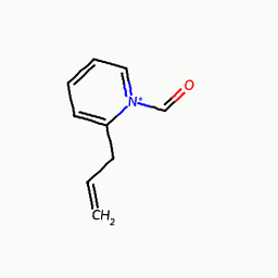 C=CCc1cccc[n+]1C=O